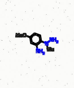 COc1ccc(N(N)C(C)(C)C)c(N)c1